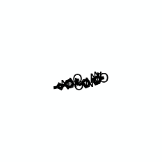 CC1CC(N2CCN(C(=O)OC3CCN(c4ccc(=O)n(C)n4)CC3)CC2)C1